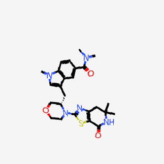 CN(C)C(=O)c1ccc2c(c1)c(C[C@H]1COCCN1c1nc3c(s1)C(=O)NC(C)(C)C3)cn2C